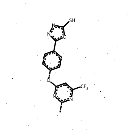 Cc1nc(Oc2ccc(-c3nnc(S)o3)cc2)cc(C(F)(F)F)n1